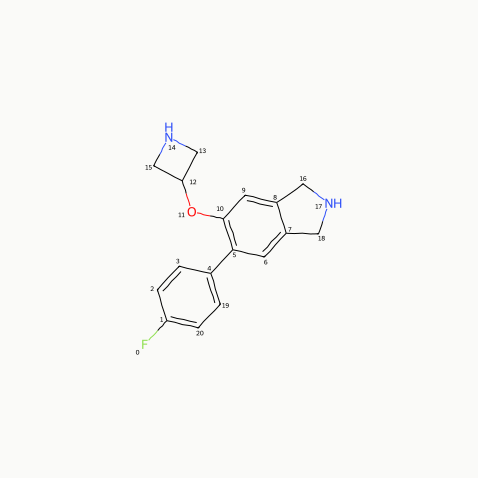 Fc1ccc(-c2cc3c(cc2OC2CNC2)CNC3)cc1